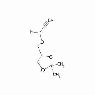 C#CC(I)OCC1COC(C)(C)O1